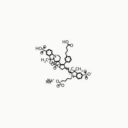 CC1(C)C(C=CC2=C(c3cccc(CCCC(=O)O)c3)/C(=C/C=C3/N(CCCCS(=O)(=O)[O-])c4ccc(S(=O)(=O)[O-])cc4C3(C)C)CC2)=[N+](CCCCS(=O)(=O)[O-])c2ccc(S(=O)(=O)O)cc21.[Na+].[Na+]